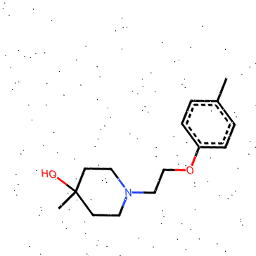 Cc1ccc(OCCN2CCC(C)(O)CC2)cc1